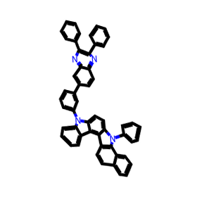 c1ccc(-c2nc3ccc(-c4cccc(-n5c6ccccc6c6c7c8ccc9ccccc9c8n(-c8ccccc8)c7ccc65)c4)cc3nc2-c2ccccc2)cc1